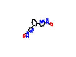 O=CNc1ccc(C2CCCC(c3ccc(NC=O)nn3)C2)nn1